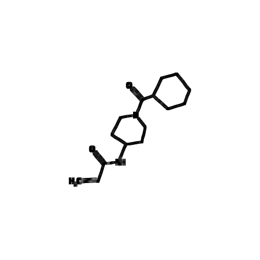 C=CC(=O)NC1CCN(C(=O)C2CCCCC2)CC1